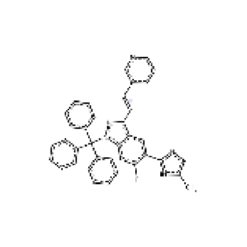 Cc1nnc(-c2cc3c(/C=C/c4cccnc4)nn(C(c4ccccc4)(c4ccccc4)c4ccccc4)c3cc2F)[nH]1